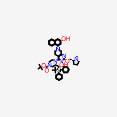 CN1CCC[C@H]1COc1nc2c(c(N3CCN(C(=O)OC(C)(C)C)CC3C(O)[Si](c3ccccc3)(c3ccccc3)C(C)(C)C)n1)CCN(c1cc(O)cc3ccccc13)C2